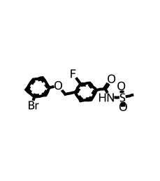 CS(=O)(=O)NC(=O)c1ccc(COc2cccc(Br)c2)c(F)c1